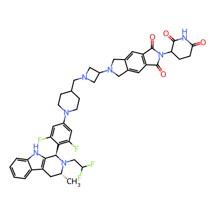 C[C@@H]1Cc2c([nH]c3ccccc23)[C@@H](c2c(F)cc(N3CCC(CN4CC(N5Cc6cc7c(cc6C5)C(=O)N(C5CCC(=O)NC5=O)C7=O)C4)CC3)cc2F)N1CC(F)F